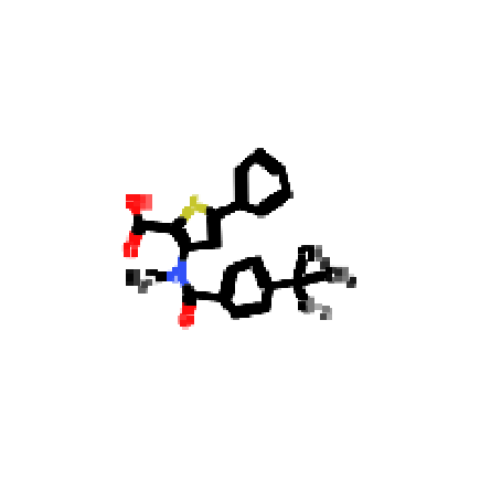 CN(C(=O)c1ccc(C(C)(C)C)cc1)c1cc(-c2ccccc2)sc1C(=O)O